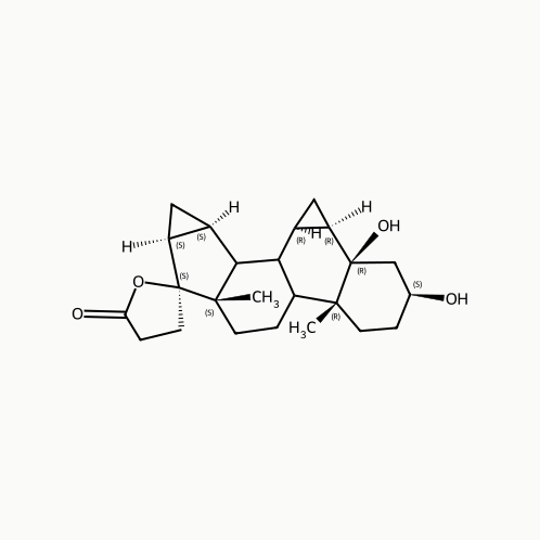 C[C@]12CCC3C(C1[C@@H]1C[C@@H]1[C@@]21CCC(=O)O1)[C@H]1C[C@H]1[C@]1(O)C[C@@H](O)CC[C@]31C